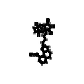 COc1cccc2c1C1CN(CCCCC34C(=O)NC(=O)C3C3CCC4[C@@H]4CC[C@@H]34)CC1CC2